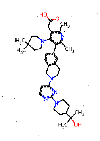 Cc1nc(C)c(-c2ccc3c(c2)CCN(c2ccnc(N4CCC(C(C)(C)O)CC4)n2)C3)c(N2CCC(C)(C)CC2)c1CC(=O)O